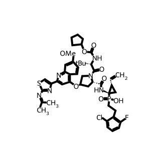 C=C[C@@H]1C[C@]1(NC(=O)[C@@H]1C[C@@H](Oc2cc(-c3csc(N=C(C)C)n3)nc3cc(OC)ccc23)CN1C(=O)[C@@H](NC(=O)OC1CCCC1)C(C)(C)C)P(=O)(O)CCc1c(F)cccc1Cl